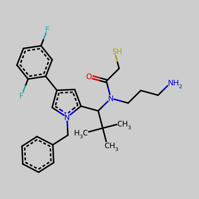 CC(C)(C)C(c1cc(-c2cc(F)ccc2F)cn1Cc1ccccc1)N(CCCN)C(=O)CS